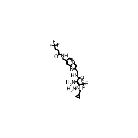 N/C(C(=O)NCc1cn2ncc(CNC(=O)CCC(F)(F)F)cc2n1)=C(\N(N)CC1CC1)C(F)(F)F